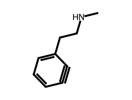 CNCCc1c#cccc1